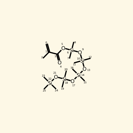 C=C(C)C(=O)O[Si](C)(C)O[Si](C)(C)O[Si](C)(C)O[Si](C)(C)O[Si](C)(C)C